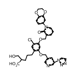 O=C(O)C(CO)CCCc1cc(Cl)c(OCc2cccn(-c3ccc4c(c3)OCCO4)c2=O)cc1OCc1cncc(-n2ccnn2)c1